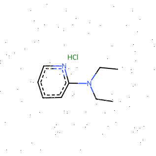 CCN(CC)c1ccccn1.Cl